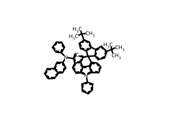 CC(C)(C)c1ccc2c(c1)-c1cc(C(C)(C)C)ccc1C21c2ccc(N(c3ccccc3)c3ccc4ccccc4c3)c3ccc4c(c23)c2c1cccc2n4-c1ccccc1